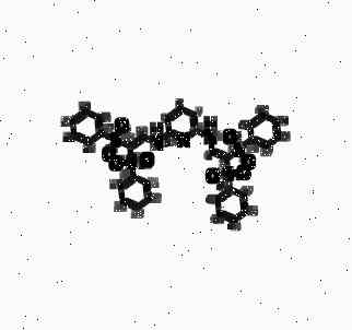 O=S(=O)(C(=CNc1cccc(NC=C(S(=O)(=O)c2ccccc2)S(=O)(=O)c2ccccc2)n1)S(=O)(=O)c1ccccc1)c1ccccc1